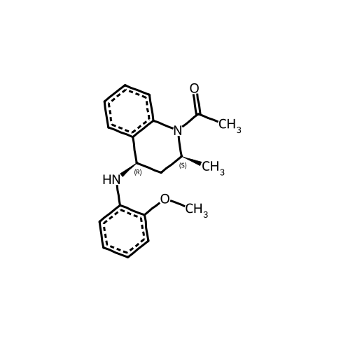 COc1ccccc1N[C@@H]1C[C@H](C)N(C(C)=O)c2ccccc21